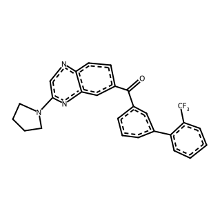 O=C(c1cccc(-c2ccccc2C(F)(F)F)c1)c1ccc2ncc(N3CCCC3)nc2c1